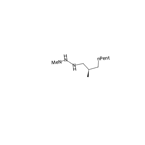 CCCCCC[C@@H](C)CNNNC